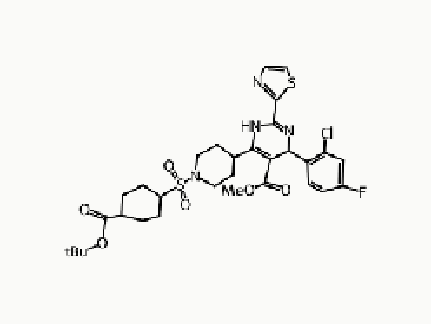 COC(=O)C1=C(C2CCN(S(=O)(=O)C3CCC(C(=O)OC(C)(C)C)CC3)CC2)NC(c2nccs2)=NC1c1ccc(F)cc1Cl